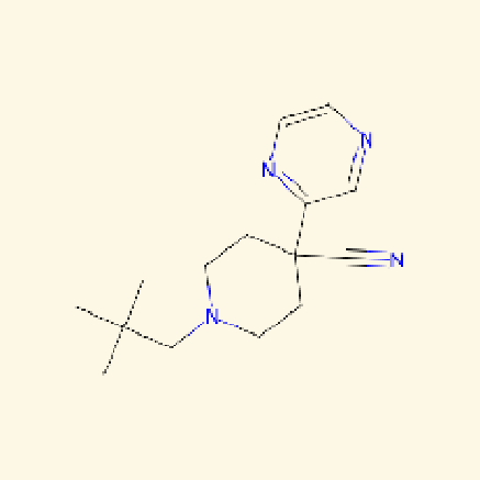 CC(C)(C)CN1CCC(C#N)(c2cnccn2)CC1